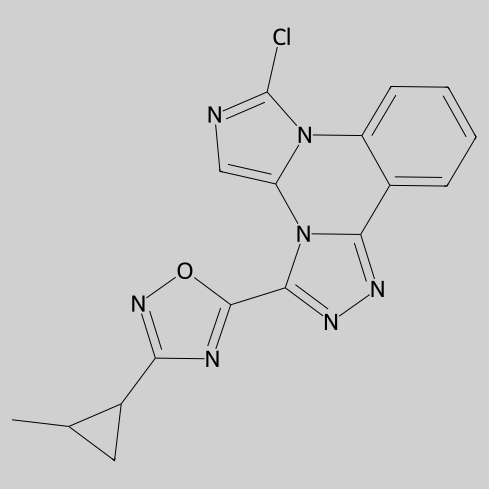 CC1CC1c1noc(-c2nnc3c4ccccc4n4c(Cl)ncc4n23)n1